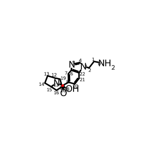 NCCn1cnc2cc(C(=O)N3C4CCC3CC(O)C4)ccc21